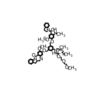 CNc1cc(OCc2cc(COc3cc4c(cc3OC)C(=O)N3c5ccccc5CC3C=N4)cc(N(CCOCCOCCOC)CC(C)(C)SSC)c2)c(OC)cc1C(=O)N1CCc2ccccc21